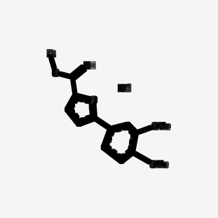 CCOC(=N)c1ccc(-c2ccc(OC)c(OC)c2)o1.Cl